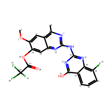 COc1cc2c(C)nc(Nc3nc(O)c4cccc(F)c4n3)nc2cc1OC(=O)C(F)(F)F